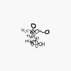 CCC(=O)N(c1ccccc1)C1(C(=O)OC)CCN(CCc2ccccc2)CC1.O=C(O)CC(O)(CC(=O)O)C(=O)O